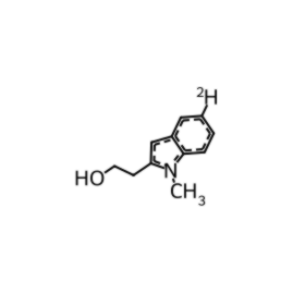 [2H]c1ccc2c(c1)cc(CCO)n2C